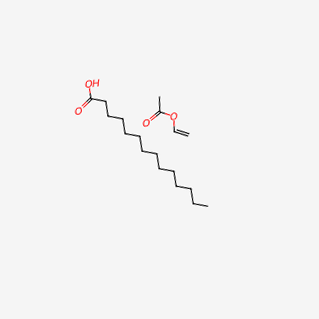 C=COC(C)=O.CCCCCCCCCCCCCC(=O)O